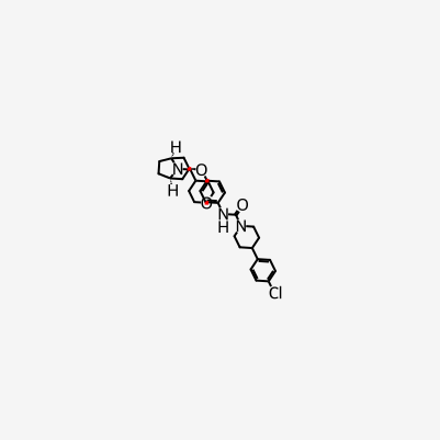 O=C(Nc1ccc(O[C@H]2C[C@H]3CC[C@@H](C2)N3CC2CCOCC2)cc1)N1CCC(c2ccc(Cl)cc2)CC1